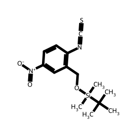 CC(C)(C)[Si](C)(C)OCc1cc([N+](=O)[O-])ccc1N=C=S